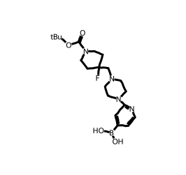 CC(C)(C)OC(=O)N1CCC(F)(CN2CCN(c3cc(B(O)O)ccn3)CC2)CC1